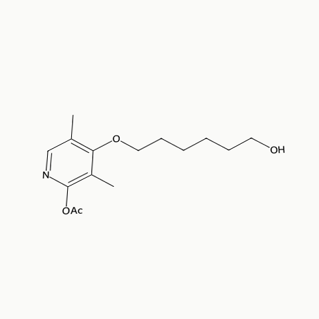 CC(=O)Oc1ncc(C)c(OCCCCCCO)c1C